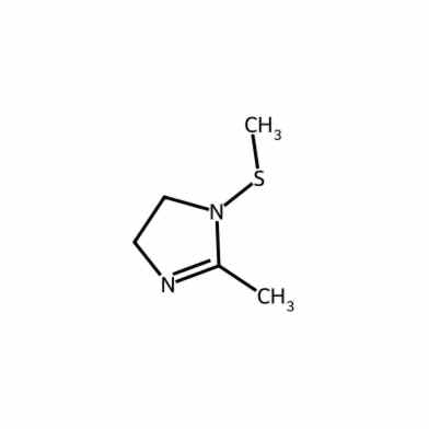 CSN1CCN=C1C